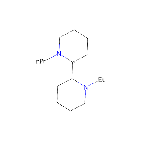 CCCN1CCCC[C]1C1CCCCN1CC